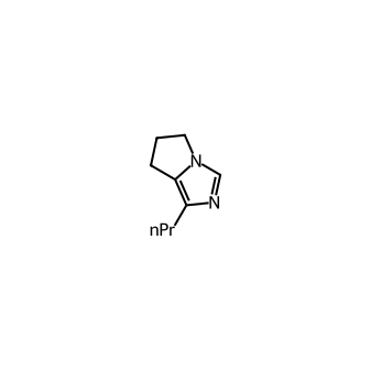 CCCc1ncn2c1CCC2